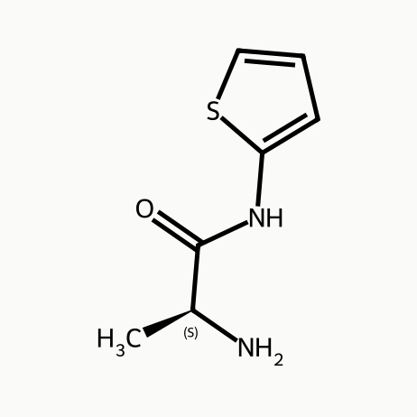 C[C@H](N)C(=O)Nc1cccs1